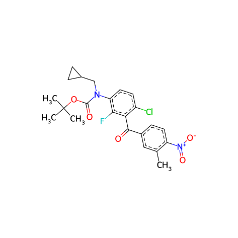 Cc1cc(C(=O)c2c(Cl)ccc(N(CC3CC3)C(=O)OC(C)(C)C)c2F)ccc1[N+](=O)[O-]